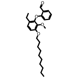 CCCCCCCCCCOc1ccc(CC)c(Oc2ccccc2C=O)c1OC